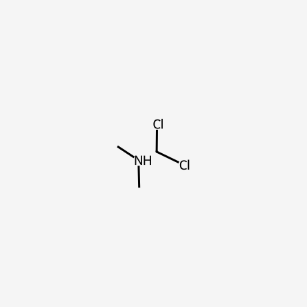 CNC.ClCCl